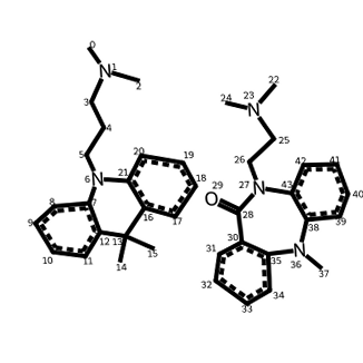 CN(C)CCCN1c2ccccc2C(C)(C)c2ccccc21.CN(C)CCN1C(=O)c2ccccc2N(C)c2ccccc21